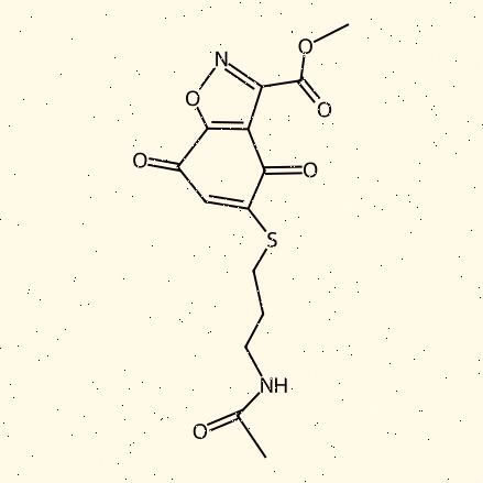 COC(=O)c1noc2c1C(=O)C(SCCCNC(C)=O)=CC2=O